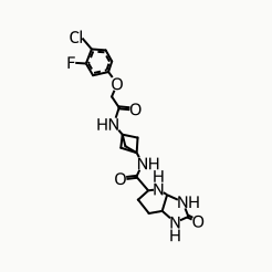 O=C(COc1ccc(Cl)c(F)c1)NC12CC(NC(=O)C3CCC4NC(=O)NC4N3)(C1)C2